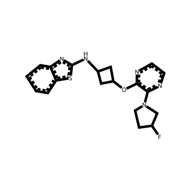 FC1CCN(c2nccnc2OC2CC(Nc3nc4ccccc4s3)C2)C1